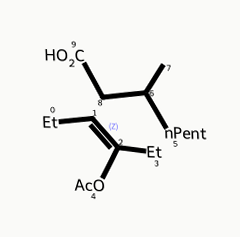 CC/C=C(/CC)OC(C)=O.CCCCCC(C)CC(=O)O